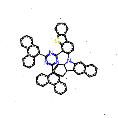 C1=CC2c3cc4ccccc4cc3N(c3ccc4c(sc5ccccc54)c3-c3nc(-c4cc5ccccc5c5ccccc45)nc(-c4cc5ccccc5c5ccccc45)n3)C2C=C1